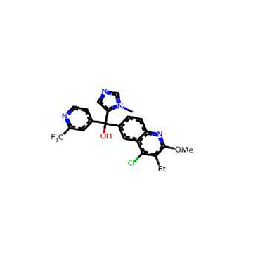 CCc1c(OC)nc2ccc(C(O)(c3ccnc(C(F)(F)F)c3)c3cncn3C)cc2c1Cl